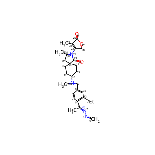 C=N/N=C(\C)c1ccc(CN(C)[C@H]2CC[C@@]3(CC2)C[C@@H](C)N(C2=C(C)C(=O)OC2)C3=O)cc1CC